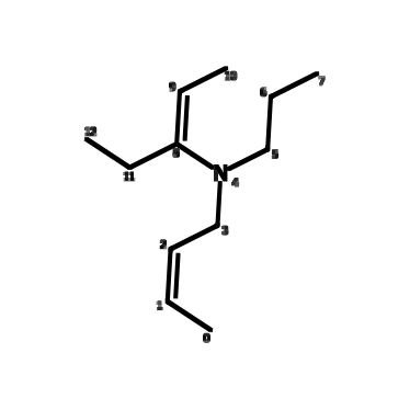 C/C=C\CN(CCC)/C(=C\C)CC